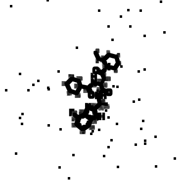 CC[C@H]1CCCCN1C(=O)C[C@H](NC(=O)C1CCCCC1)C(=O)N[C@@H](C)c1nc2c(F)cccc2[nH]1